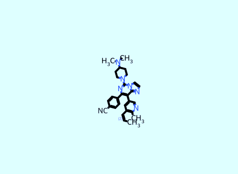 C/C=C\c1cc(-c2c(-c3ccc(C#N)cc3)nc(N3CCC(N(C)C)CC3)n3ccnc23)cnc1C